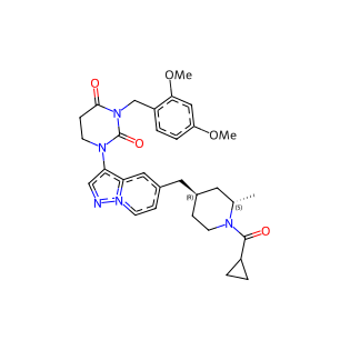 COc1ccc(CN2C(=O)CCN(c3cnn4ccc(C[C@@H]5CCN(C(=O)C6CC6)[C@@H](C)C5)cc34)C2=O)c(OC)c1